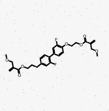 C=C(COC)C(=O)OCCCc1ccc(-c2ccc(OCCOC(=O)C(=C)COC)c(F)c2)c(F)c1